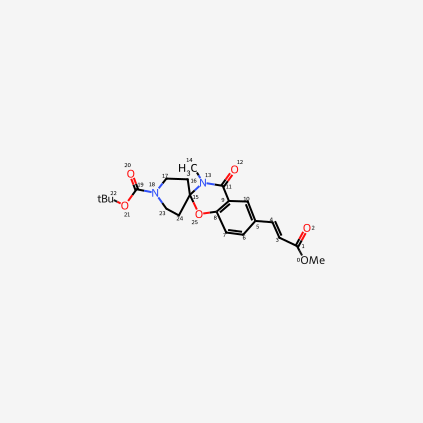 COC(=O)C=Cc1ccc2c(c1)C(=O)N(C)C1(CCN(C(=O)OC(C)(C)C)CC1)O2